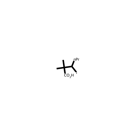 CCCC(I)C(C)(C)C(=O)O